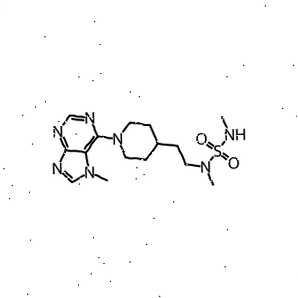 CNS(=O)(=O)N(C)CCC1CCN(c2ncnc3ncn(C)c23)CC1